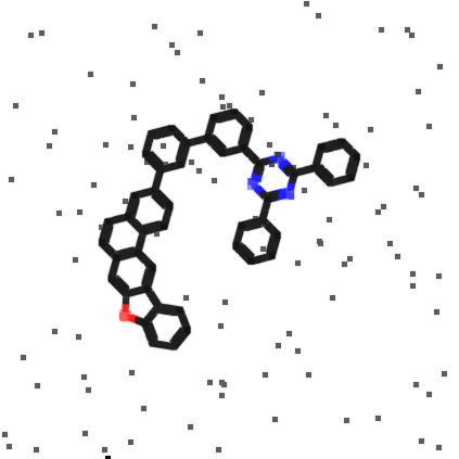 c1ccc(-c2nc(-c3ccccc3)nc(-c3cccc(-c4cccc(-c5ccc6c(ccc7cc8oc9ccccc9c8cc76)c5)c4)c3)n2)cc1